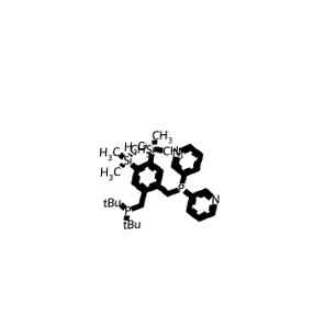 CC(C)(C)P(Cc1cc([Si](C)(C)C)c([Si](C)(C)C)cc1CP(c1cccnc1)c1cccnc1)C(C)(C)C